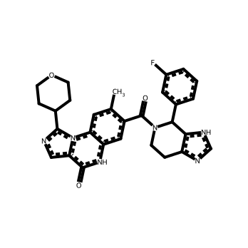 Cc1cc2c(cc1C(=O)N1CCc3nc[nH]c3C1c1cccc(F)c1)[nH]c(=O)c1cnc(C3CCOCC3)n12